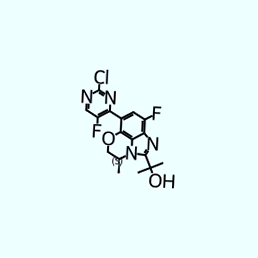 C[C@H]1COc2c(-c3nc(Cl)ncc3F)cc(F)c3nc(C(C)(C)O)n1c23